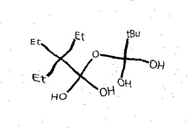 CCC(CC)(CC)C(O)(O)OC(O)(O)C(C)(C)C